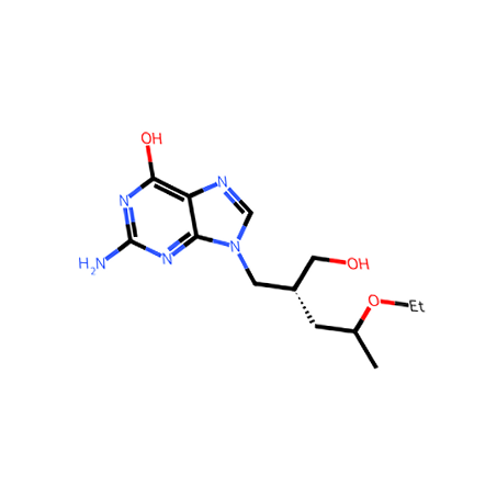 CCOC(C)C[C@@H](CO)Cn1cnc2c(O)nc(N)nc21